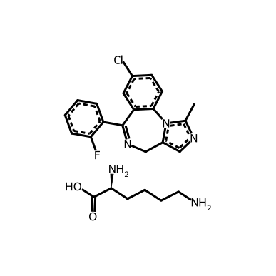 Cc1ncc2n1-c1ccc(Cl)cc1C(c1ccccc1F)=NC2.NCCCC[C@H](N)C(=O)O